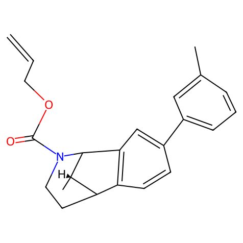 C=CCOC(=O)N1CCC2c3ccc(-c4cccc(C)c4)cc3C1[C@H]2C